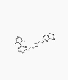 Cc1cncc(C)c1C(=O)NC(CCOC1CC(CCc2ccc3c(n2)NCCC3)C1)C(=O)O